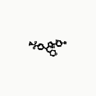 O=S(=O)(c1ccc(C(CC2CCOCC2)c2ccc(-c3ccc(Br)cn3)[nH]2)cc1)C1CC1